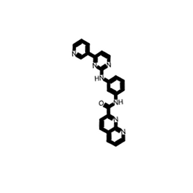 O=C(Nc1cccc(Nc2nccc(-c3cccnc3)n2)c1)c1ccc2cccnc2n1